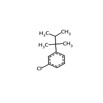 CC(C)C(C)(C)c1cccc(Cl)c1